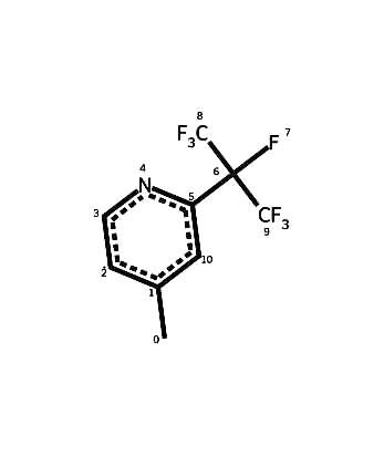 Cc1[c]cnc(C(F)(C(F)(F)F)C(F)(F)F)c1